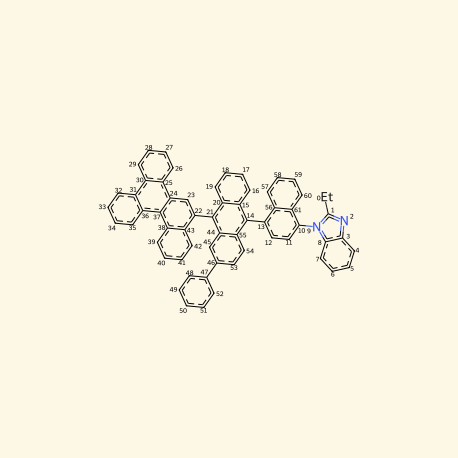 CCc1nc2ccccc2n1-c1ccc(-c2c3ccccc3c(-c3cc4c5ccccc5c5ccccc5c4c4ccccc34)c3cc(-c4ccccc4)ccc23)c2ccccc12